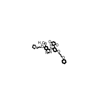 COc1cc2c(Nc3ccc(OCCCOc4ccccc4)cc3C3=CC(=O)C=CC3=O)ncnc2cc1OCCCN1CCCC1